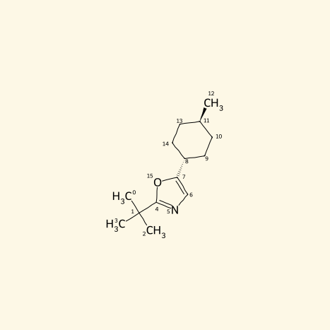 CC(C)(C)c1ncc([C@H]2CC[C@H](C)CC2)o1